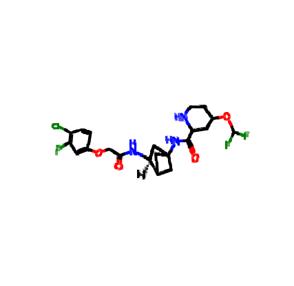 O=C(COc1ccc(Cl)c(F)c1)N[C@H]1CC2(NC(=O)C3CC(OC(F)F)CCN3)CC1C2